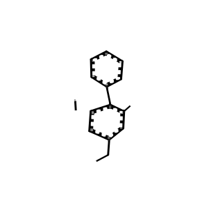 CC(C)Cc1ccc(-c2ccccc2)c(C(F)(F)F)c1.CO